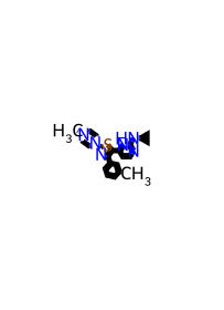 Cc1cccc(-c2nc(N3CCN(C)CC3)sc2-c2ccnc(NC3CC3)n2)c1